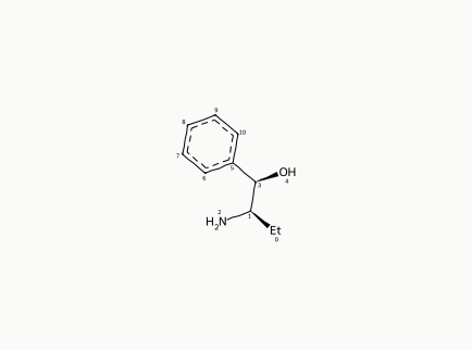 CC[C@@H](N)[C@H](O)c1ccccc1